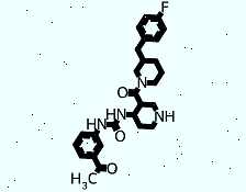 CC(=O)c1cccc(NC(=O)NC2CCNCC2C(=O)N2CCCC(Cc3ccc(F)cc3)C2)c1